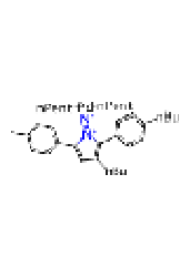 CCCCC1=C(c2ccc(CCCC)cc2)[N+](=[N-])C(c2ccc(C)cc2)=C1.CCCC[CH2][Pd][CH2]CCCC